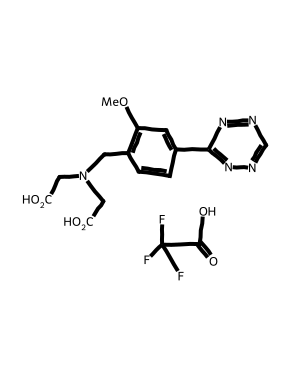 COc1cc(-c2nncnn2)ccc1CN(CC(=O)O)CC(=O)O.O=C(O)C(F)(F)F